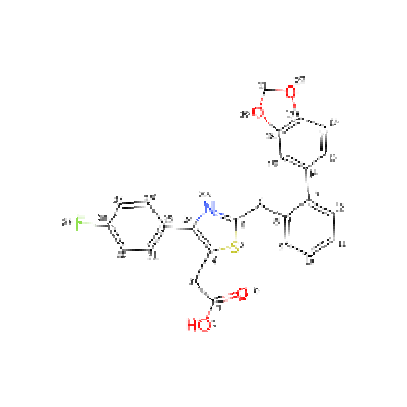 O=C(O)Cc1sc(Cc2ccccc2-c2ccc3c(c2)OCO3)nc1-c1ccc(F)cc1